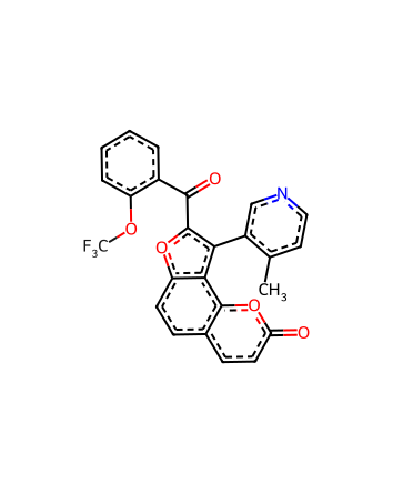 Cc1ccncc1-c1c(C(=O)c2ccccc2OC(F)(F)F)oc2ccc3ccc(=O)oc3c12